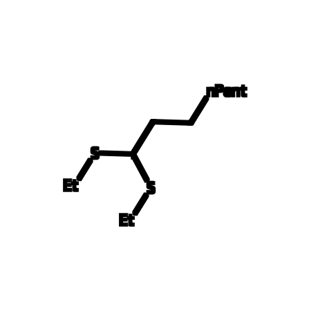 CCCCCCC[C](SCC)SCC